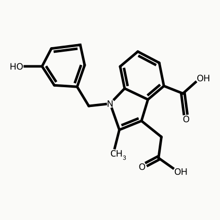 Cc1c(CC(=O)O)c2c(C(=O)O)cccc2n1Cc1cccc(O)c1